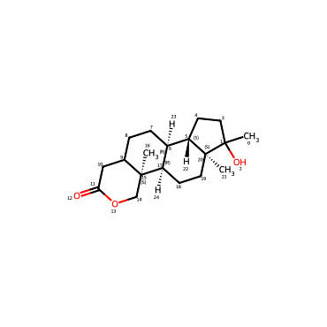 CC1(O)CC[C@H]2[C@@H]3CCC4CC(=O)OC[C@]4(C)[C@@H]3CC[C@@]21C